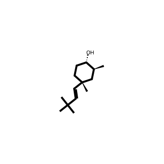 C[C@H]1C[C@](C)(/C=C/C(C)(C)C)CC[C@@H]1O